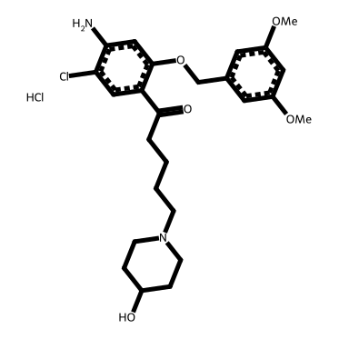 COc1cc(COc2cc(N)c(Cl)cc2C(=O)CCCCN2CCC(O)CC2)cc(OC)c1.Cl